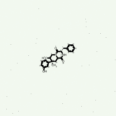 CC1CN2C(=O)[C@H](Cc3ccccc3)NC(=O)C2C[C@@]1(C)c1cccc(O)c1